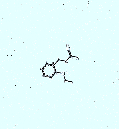 CCOc1ccccc1CCC(C)=O